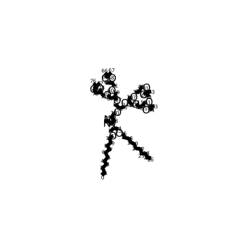 C=CCCCCCCCCCOCC(COCCCCCCCCCC=C)n1cc(COC(COC(COCC2COC(C)(C)O2)COCC2COC(C)(C)O2)COC(COCC2COC(C)(C)O2)COCC2COC(C)(C)O2)nn1